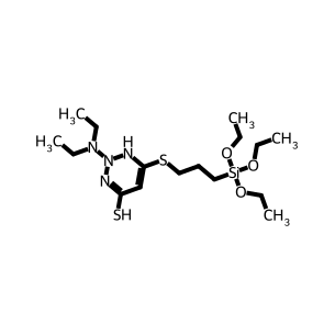 CCO[Si](CCCSC1=CC(S)=NN(N(CC)CC)N1)(OCC)OCC